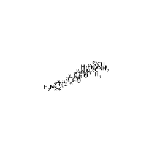 CC(C)(N)C(=O)N1CCN(C(=O)Nc2ccn(-c3ccc(CCN4CCC[C@H](N)CC4)cc3)c(=O)n2)CC1